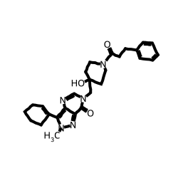 Cn1nc2c(=O)n(CC3(O)CCN(C(=O)CCc4ccccc4)CC3)cnc2c1C1=CCCCC1